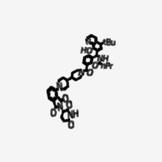 CCCC(=O)NC(c1cccc(C(=O)N2CCC(C3CCN(c4cccc5c4C(=O)N(C4CCC(=O)NC4=O)C5=O)CC3)CC2)c1)c1cc(C(C)(C)C)c2cccnc2c1O